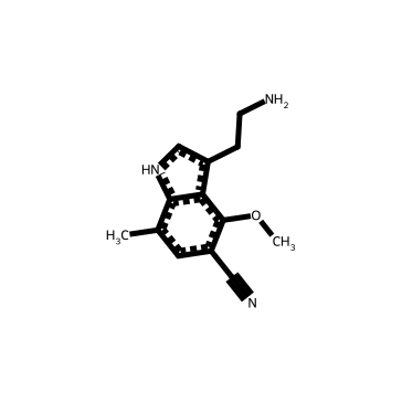 COc1c(C#N)cc(C)c2[nH]cc(CCN)c12